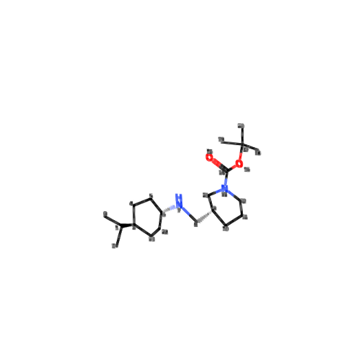 CC(C)[C@H]1CC[C@H](NC[C@H]2CCCN(C(=O)OC(C)(C)C)C2)CC1